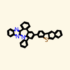 c1ccc2c(c1)-c1nc3ccccc3nc1-n1c3ccccc3c3cc(-c4ccc5c(c4)sc4cc6ccccc6cc45)cc-2c31